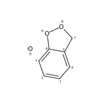 [O].c1ccc2c(c1)COO2